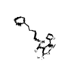 Nc1onc(-c2ccco2)c1C(=O)NCCCCc1ccccc1